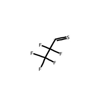 FC(F)(F)C(F)(F)[C]=S